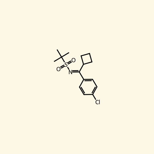 CC(C)(C)S(=O)(=O)N=C(c1ccc(Cl)cc1)C1CCC1